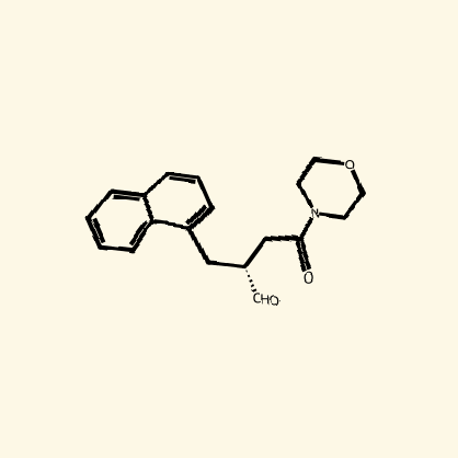 O=[C][C@@H](CC(=O)N1CCOCC1)Cc1cccc2ccccc12